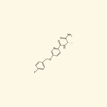 C[C@H](NC(=O)c1ccc(OCc2ccc(F)cc2)cn1)C(N)=O